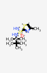 Cc1csc(S(=N)(=O)N[Si](C)(C)C(C)(C)C)n1